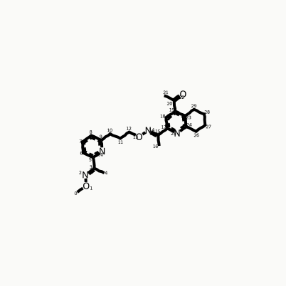 CO/N=C(\C)c1cccc(CCCO/N=C(\C)c2cc(C(C)=O)c3c(n2)CCCC3)n1